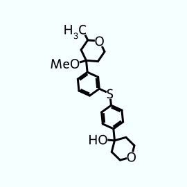 COC1(c2cccc(Sc3ccc(C4(O)CCOCC4)cc3)c2)CCOC(C)C1